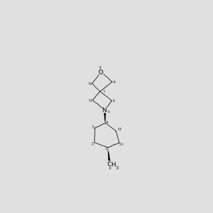 C[C@H]1CC[C@@H](N2CC3(COC3)C2)CC1